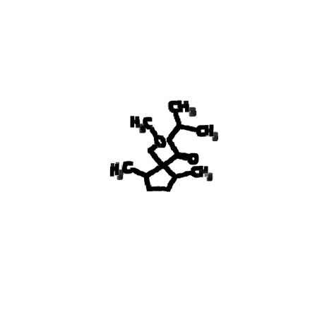 COCC1(C(=O)CC(C)C)C(C)CCC1C